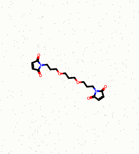 O=C1C=CC(=O)N1CCCOCCCOCCCN1C(=O)C=CC1=O